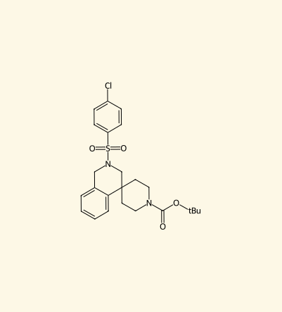 CC(C)(C)OC(=O)N1CCC2(CC1)CN(S(=O)(=O)c1ccc(Cl)cc1)Cc1ccccc12